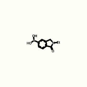 CCN1Cc2cc(B(O)O)ccc2C1=O